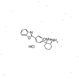 CO[C@]1(c2ccc(-c3nc4ccccc4o3)cc2)CCCC[C@@H]1N.Cl